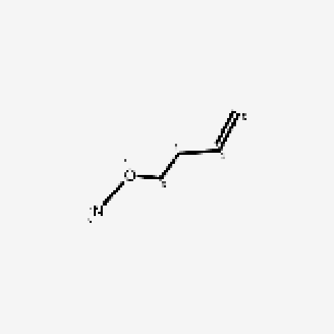 C=CCCO[N]